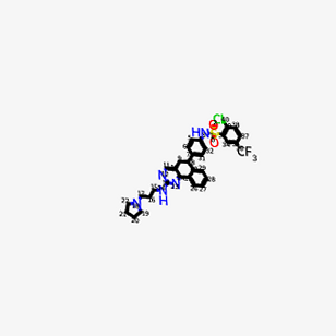 O=S(=O)(Nc1ccc(C2Cc3cnc(NCCCN4CCCC4)nc3-c3ccccc32)cc1)c1cc(C(F)(F)F)ccc1Cl